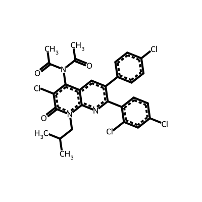 CC(=O)N(C(C)=O)c1c(Cl)c(=O)n(CC(C)C)c2nc(-c3ccc(Cl)cc3Cl)c(-c3ccc(Cl)cc3)cc12